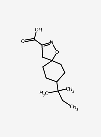 CCC(C)(C)C1CCC2(CC1)CC(C(=O)O)=NO2